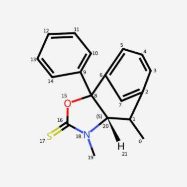 CC1c2cccc(c2)C2(c3ccccc3)OC(=S)N(C)[C@@H]12